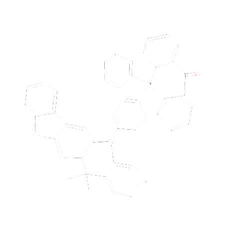 CC1(C)c2ccccc2N(c2ccc(C3(c4ccccc4)c4ccccc4C(=O)c4ccccc43)cc2)c2cc3c(cc21)oc1ccccc13